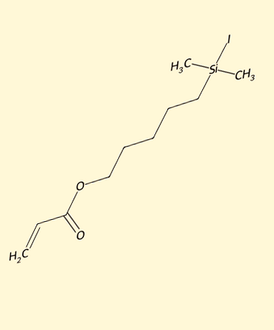 C=CC(=O)OCCCCC[Si](C)(C)I